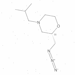 C[C](C)CN1CCO[C@H](CN=[N+]=[N-])C1